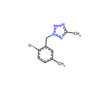 Cc1ccc(Br)c(Cn2nnc(C)n2)c1